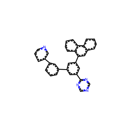 c1cncc(-c2cccc(-c3cc(-c4ncncn4)cc(-c4cc5ccccc5c5ccccc45)c3)c2)c1